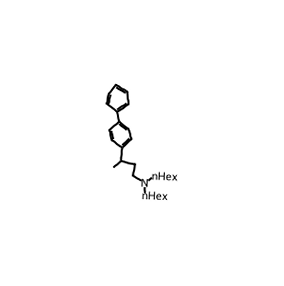 CCCCCCN(CCCCCC)CCC(C)c1ccc(-c2ccccc2)cc1